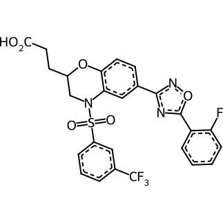 O=C(O)CCC1CN(S(=O)(=O)c2cccc(C(F)(F)F)c2)c2cc(-c3noc(-c4ccccc4F)n3)ccc2O1